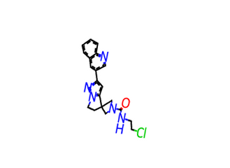 O=C(NCCCl)N1CC2(CCn3nc(-c4cnc5ccccc5c4)cc32)C1